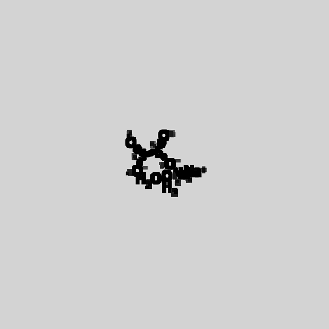 O.O.O=S([O-])S(=O)[O-].[Na+].[Na+]